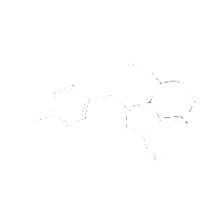 COc1ccnc2c(C=O)cn(Cc3ccc(F)cc3)c12